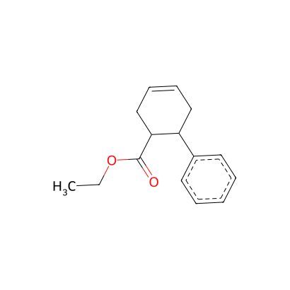 CCOC(=O)C1CC=CCC1c1ccccc1